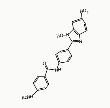 CC(=O)Nc1ccc(C(=O)Nc2ccc(-c3nc4ccc([N+](=O)[O-])cc4n3O)cc2)cc1